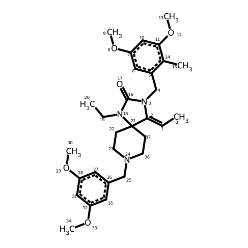 C/C=C1\N(Cc2cc(OC)cc(OC)c2C)C(=O)N(CC)C12CCN(Cc1cc(OC)cc(OC)c1)CC2